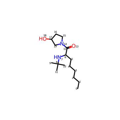 CCCCCCC(NC(C)(C)C)C(=O)N1CCC(O)C1